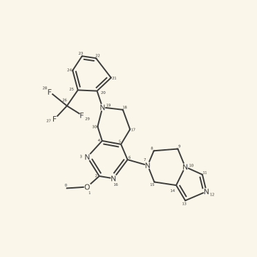 COc1nc2c(c(N3CCn4cncc4C3)n1)CCN(c1ccccc1C(F)(F)F)C2